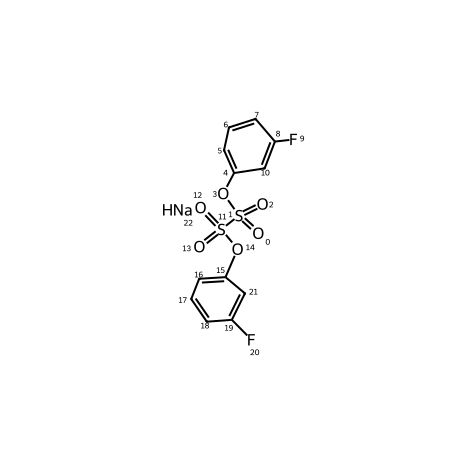 O=S(=O)(Oc1cccc(F)c1)S(=O)(=O)Oc1cccc(F)c1.[NaH]